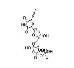 CC#Cc1cn([C@H]2CC(O)[C@@H](COP(=O)(O)OP(=O)(O)OP(=O)(O)O)O2)c(=O)[nH]c1=O